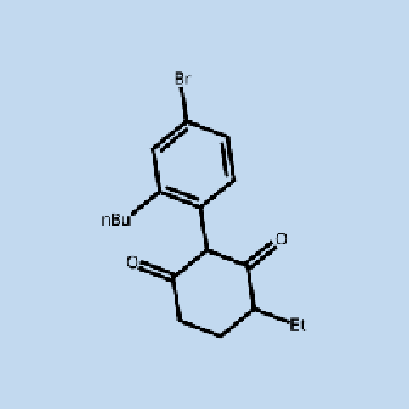 CCCCc1cc(Br)ccc1C1C(=O)CCC(CC)C1=O